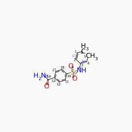 C/C=C\C(=C/C)NS(=O)(=O)c1ccc(C(N)=O)cc1